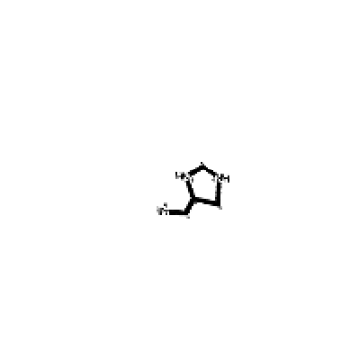 CC(C)CC1CNCN1